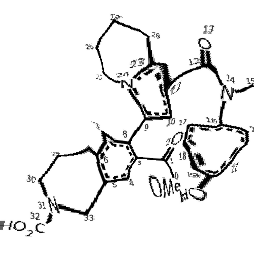 COC(=O)c1cc2c(cc1-c1cc(C(=O)N(C)c3ccc(O)cc3)c3n1CCCC3)CCN(C(=O)O)C2